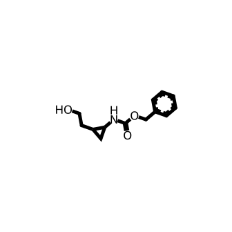 O=C(NC1CC1CCO)OCc1ccccc1